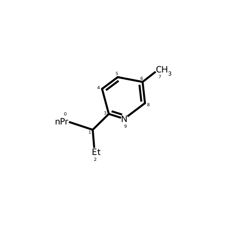 CCCC(CC)c1ccc(C)cn1